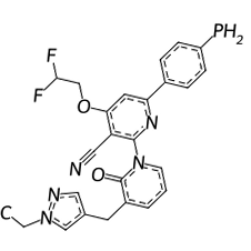 CCn1cc(Cc2cccn(-c3nc(-c4ccc(P)cc4)cc(OCC(F)F)c3C#N)c2=O)cn1